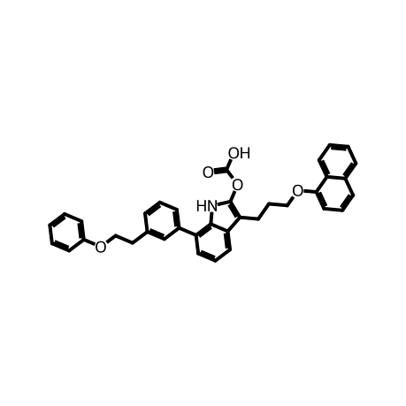 O=C(O)Oc1[nH]c2c(-c3cccc(CCOc4ccccc4)c3)cccc2c1CCCOc1cccc2ccccc12